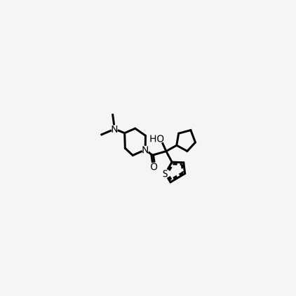 CN(C)C1CCN(C(=O)C(O)(c2cccs2)C2CCCC2)CC1